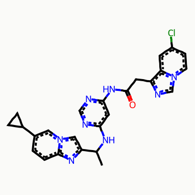 CC(Nc1cc(NC(=O)Cc2ncn3ccc(Cl)cc23)ncn1)c1cn2cc(C3CC3)ccc2n1